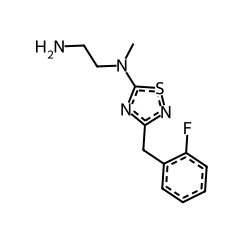 CN(CCN)c1nc(Cc2ccccc2F)ns1